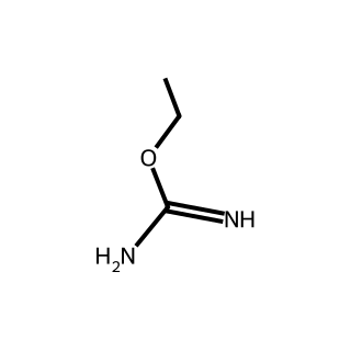 CCOC(=N)N